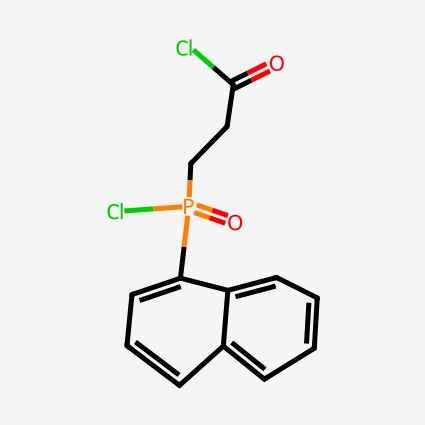 O=C(Cl)CCP(=O)(Cl)c1cccc2ccccc12